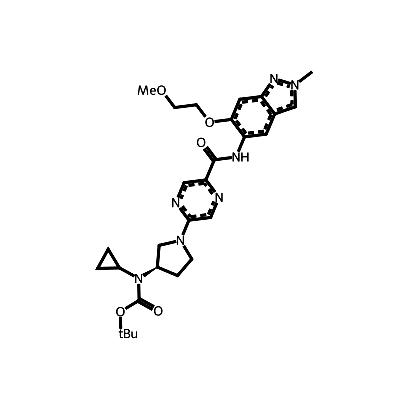 COCCOc1cc2nn(C)cc2cc1NC(=O)c1cnc(N2CC[C@@H](N(C(=O)OC(C)(C)C)C3CC3)C2)cn1